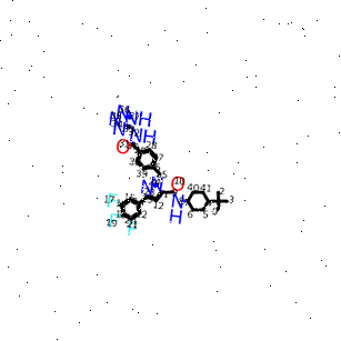 CC(C)(C)C1CCC(NC(=O)c2cc(-c3cc(F)c(F)c(F)c3)nn2Cc2ccc(C(=O)Nc3nnn[nH]3)cc2)CC1